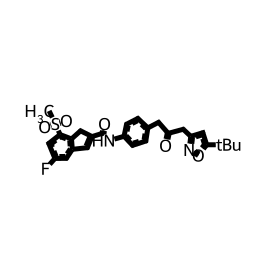 CC(C)(C)c1cc(CC(=O)Cc2ccc(NC(=O)C3=Cc4cc(F)cc(S(C)(=O)=O)c4C3)cc2)no1